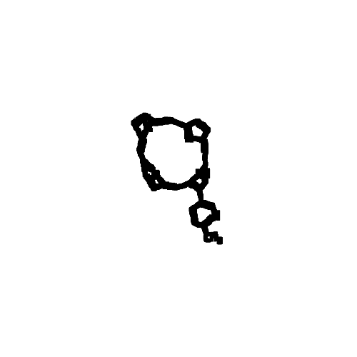 Cc1ccc(-c2cc3cc4nc(cc5ccc(cc6nc(cc2[nH]3)C=C6)[nH]5)C=C4)cn1